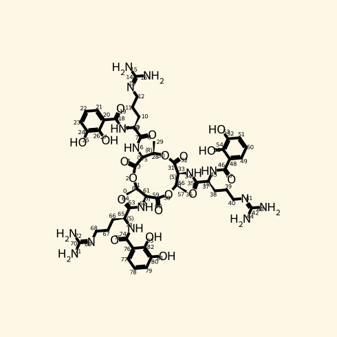 C[C@H]1OC(=O)[C@@H](NC(=O)[C@H](CCCN=C(N)N)NC(=O)c2cccc(O)c2O)[C@@H](C)OC(=O)[C@@H](NC(=O)[C@H](CCCN=C(N)N)NC(=O)c2cccc(O)c2O)[C@@H](C)OC(=O)[C@H]1NC(=O)[C@H](CCCN=C(N)N)NC(=O)c1cccc(O)c1O